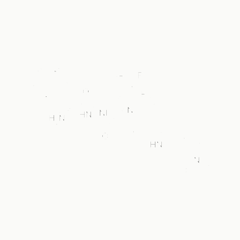 CN1CCC(Nc2cccc3c2cc(C(=O)NNC(=O)C(N)c2ccccc2)n3CC(F)(F)F)CC1